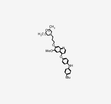 COc1cc2c(Oc3ccc(Nc4ccc(C(C)(C)C)cc4)cc3)ccnc2cc1OCCCN1C[C@@H](C)O[C@@H](C)C1